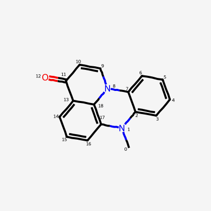 CN1c2ccccc2-n2ccc(=O)c3cccc1c32